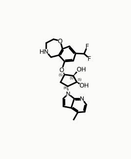 Cc1ccnc2c1ccn2[C@@H]1C[C@H](Oc2cc(C(F)F)cc3c2CNCCO3)[C@@H](O)[C@H]1O